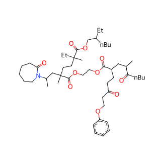 CCCCC(=O)C(C)CC(CCC(=O)CCOc1ccccc1)C(=O)OCCOC(=O)C(C)(CCC(C)(CC)C(=O)OCC(CC)CCCC)CC(C)N1CCCCCC1=O